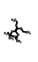 CCOC(OCC)=C(OCC)O[Si](C)(C)C